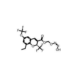 CCc1cc(OC(F)(F)F)cc2c1O[C@H](C(F)(F)F)C(C(=O)OCO/N=N\O)=C2